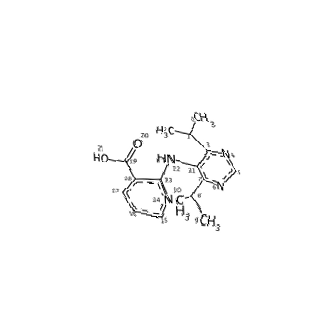 CC(C)c1ncnc(C(C)C)c1Nc1ncccc1C(=O)O